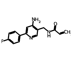 C=CC(=O)NCc1cnc(-c2ccc(F)cc2)cc1N